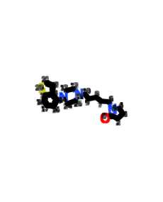 O=C1CCCN1CCCCCN1CCN(c2cccc3sccc23)CC1